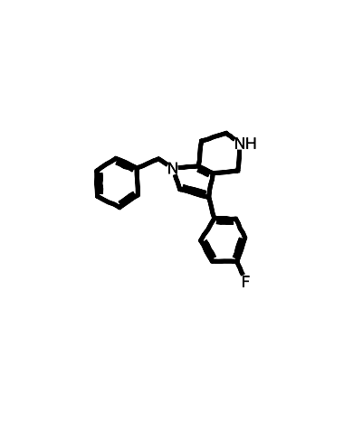 Fc1ccc(-c2cn(Cc3ccccc3)c3c2CNCC3)cc1